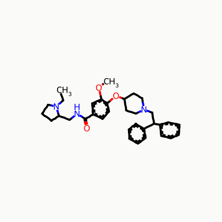 CCN1CCCC1CNC(=O)c1ccc(OC2CCN(CC(c3ccccc3)c3ccccc3)CC2)c(OC)c1